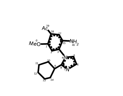 COc1cc(-n2ccnc2C2CCCCC2)c(N)cc1C(C)=O